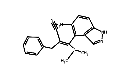 CN(C)C(=C(C#N)Cc1ccccc1)c1c(N)ccc2[nH]ncc12